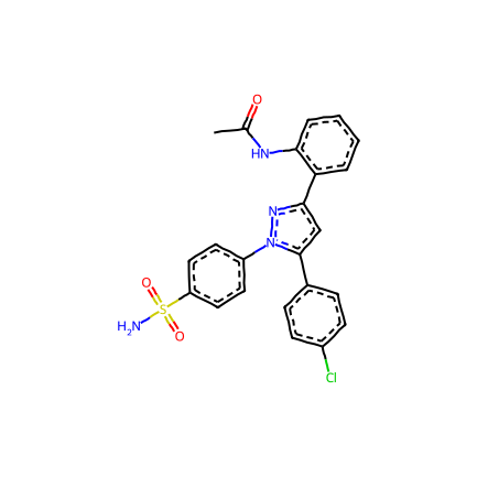 CC(=O)Nc1ccccc1-c1cc(-c2ccc(Cl)cc2)n(-c2ccc(S(N)(=O)=O)cc2)n1